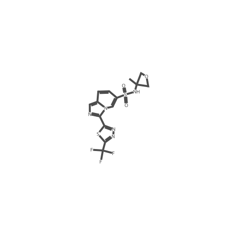 CC1(NS(=O)(=O)c2ccc3cnc(-c4nnc(C(F)(F)F)s4)n3c2)COC1